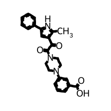 Cc1[nH]c(-c2ccccc2)cc1C(=O)C(=O)N1CCN(c2cccc(C(=O)O)c2)CC1